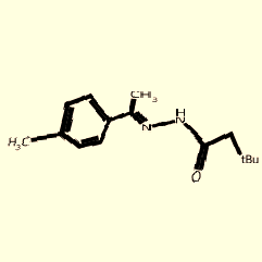 C/C(=N\NC(=O)CC(C)(C)C)c1ccc(C)cc1